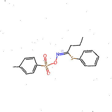 CCC/C(=N/OS(=O)(=O)c1ccc(C)cc1)Sc1ccccc1